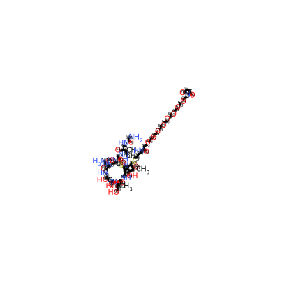 CC[C@H](C)[C@H](CCNC(=O)CN)C(=O)NCC(=O)N[C@@H]1C[S+]([O-])C2Nc3c(ccc(OC)c3CSCCCCNC(=O)CCOCCOCCOCCOCCOCCOCCOCCOCCN3C(=O)C=CC3=O)C2[C@H](CO)CNC(=O)[C@H]([C@@H](C)[C@@H](O)CO)NC(=O)C[C@@H](O)CNC(=O)[C@H](CC(N)=O)NC1=O